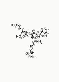 CCCCCCCCCC(=O)NCCPCC[C@H](N)C(=O)N[C@H](Cc1c[nH]c2ccccc12)C(=O)NCC[C@@H](NC(=O)CCCC(=O)O)C(=O)O